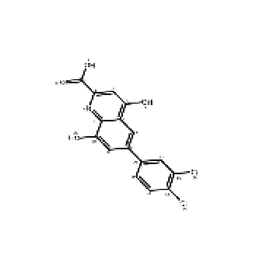 O=C(O)c1cc(O)c2cc(-c3ccc(Cl)c(Cl)c3)cc(O)c2n1